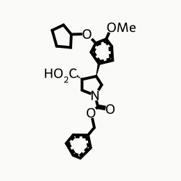 COc1ccc([C@H]2CN(C(=O)OCc3ccccc3)C[C@@H]2C(=O)O)cc1OC1CCCC1